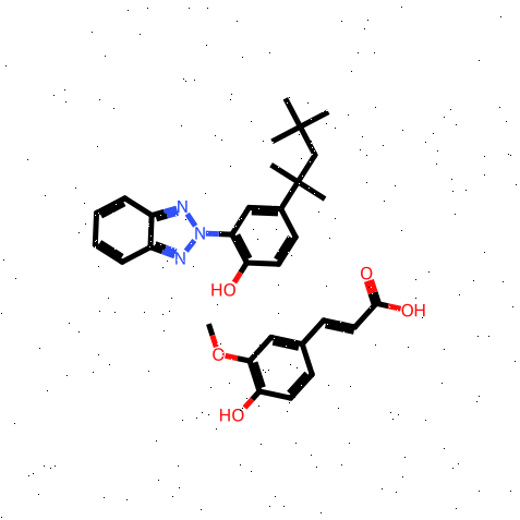 CC(C)(C)CC(C)(C)c1ccc(O)c(-n2nc3ccccc3n2)c1.COc1cc(/C=C/C(=O)O)ccc1O